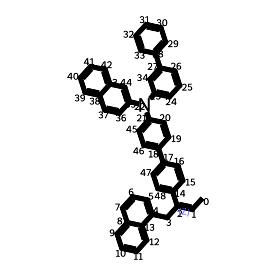 C/C=C(/Cc1cccc2ccccc12)c1ccc(-c2ccc(N(c3cccc(-c4ccccc4)c3)c3ccc4ccccc4c3)cc2)cc1